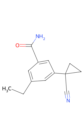 CCc1cc(C(N)=O)cc(C2(C#N)CC2)c1